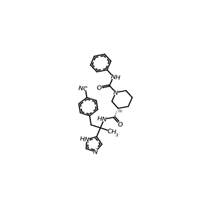 CC(Cc1ccc(C#N)cc1)(NC(=O)[C@H]1CCCN(C(=O)Nc2ccccc2)C1)c1cnc[nH]1